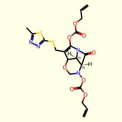 C=CCOC(=O)OC1=C(CSc2nnc(C)s2)C2OCN(OC(=O)OCC=C)[C@@H]3C(=O)N1[C@H]23